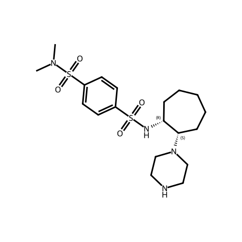 CN(C)S(=O)(=O)c1ccc(S(=O)(=O)N[C@@H]2CCCCC[C@@H]2N2CCNCC2)cc1